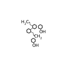 C=CCc1ccccc1-c1ccccc1CC=C.Oc1ccccc1.Oc1ccccc1